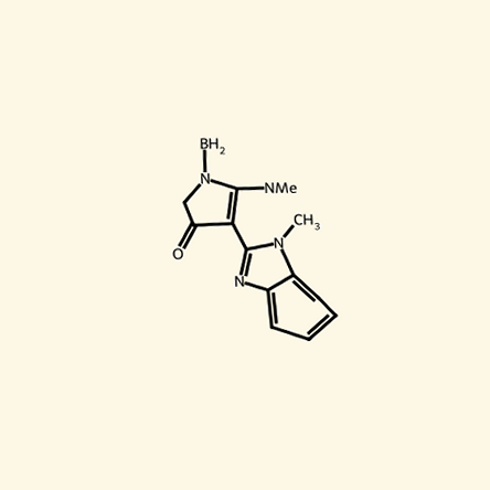 BN1CC(=O)C(c2nc3ccccc3n2C)=C1NC